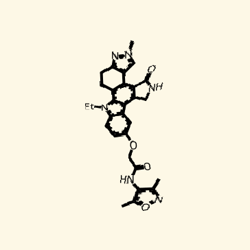 CCn1c2ccc(OCC(=O)Nc3c(C)noc3C)cc2c2c3c(c4c(c21)CCc1nn(C)cc1-4)C(=O)NC3